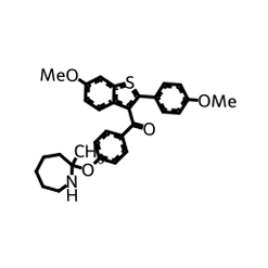 COc1ccc(-c2sc3cc(OC)ccc3c2C(=O)c2ccc(OC3(C)CCCCCN3)cc2)cc1